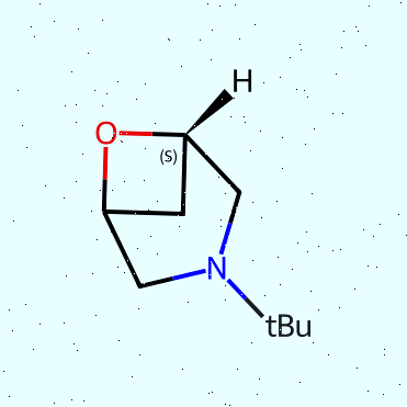 CC(C)(C)N1CC2C[C@@H](C1)O2